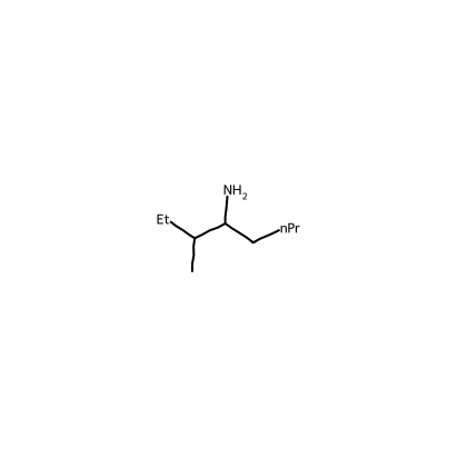 CCCCC(N)C(C)CC